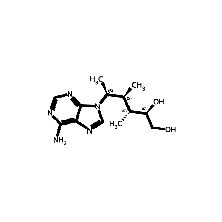 C[C@H]([C@H](C)[C@H](C)n1cnc2c(N)ncnc21)[C@@H](O)CO